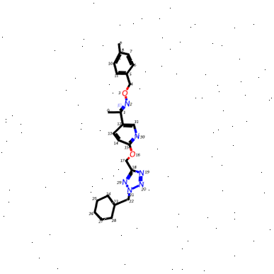 C/C(=N\OCc1ccc(C)cc1)c1ccc(OCc2nnn(CC3CCCCC3)n2)nc1